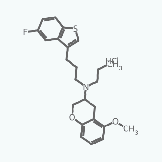 CCCN(CCCc1csc2ccc(F)cc12)C1COc2cccc(OC)c2C1.Cl